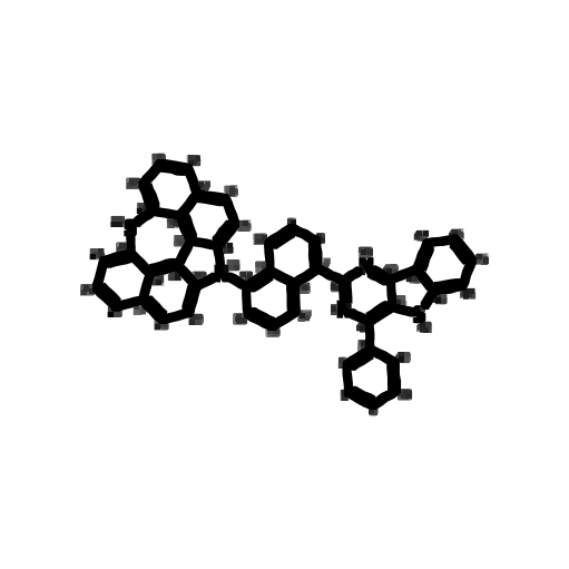 c1ccc(-c2nc(-c3cccc4c(-n5c6ccc7cccc8sc9cccc%10ccc5c(c%109)c6c78)cccc34)nc3c2sc2ccccc23)cc1